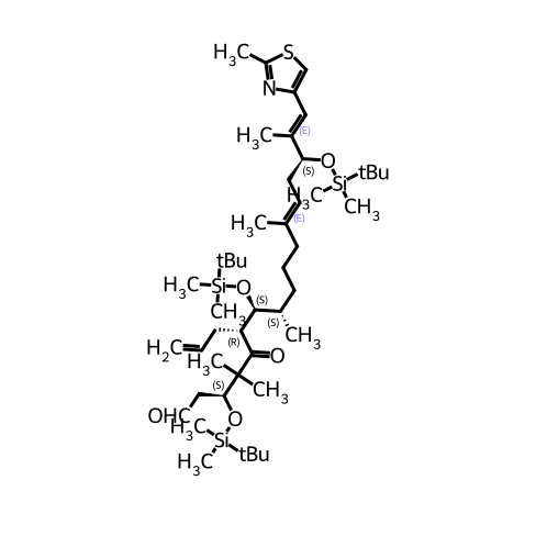 C=CC[C@@H](C(=O)C(C)(C)[C@H](CC=O)O[Si](C)(C)C(C)(C)C)[C@@H](O[Si](C)(C)C(C)(C)C)[C@@H](C)CCC/C(C)=C/C[C@H](O[Si](C)(C)C(C)(C)C)/C(C)=C/c1csc(C)n1